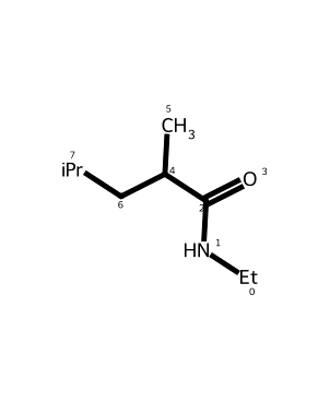 CCNC(=O)C(C)CC(C)C